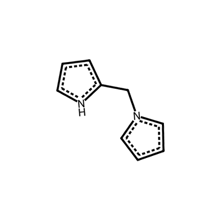 c1c[nH]c(Cn2cccc2)c1